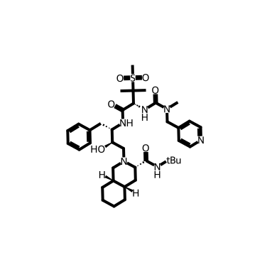 CN(Cc1ccncc1)C(=O)N[C@H](C(=O)N[C@@H](Cc1ccccc1)[C@H](O)CN1C[C@H]2CCCC[C@H]2C[C@H]1C(=O)NC(C)(C)C)C(C)(C)S(C)(=O)=O